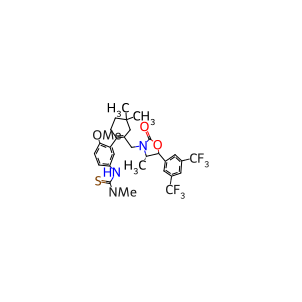 CNC(=S)Nc1ccc(OC)c(C2=C(CN3C(=O)OC(c4cc(C(F)(F)F)cc(C(F)(F)F)c4)[C@@H]3C)CC(C)(C)CC2)c1